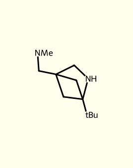 CNCC12CNC(C(C)(C)C)(C1)C2